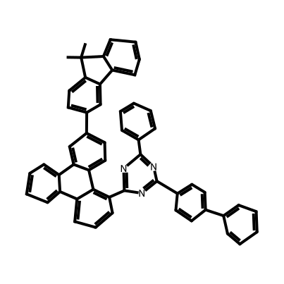 CC1(C)c2ccccc2-c2cc(-c3ccc4c(c3)c3ccccc3c3cccc(-c5nc(-c6ccccc6)nc(-c6ccc(-c7ccccc7)cc6)n5)c34)ccc21